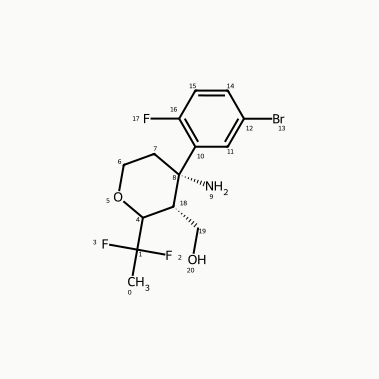 CC(F)(F)C1OCC[C@@](N)(c2cc(Br)ccc2F)[C@@H]1CO